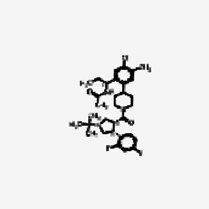 CC[C@H](NC(C)=O)c1cc(Cl)c(C)cc1C1CCN(C(=O)[C@@H]2CN(C(C)(C)C)C[C@H]2c2ccc(F)cc2F)CC1